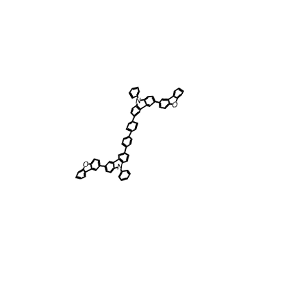 c1ccc(-n2c3ccc(-c4ccc(-c5ccc(-c6ccc7c(c6)c6cc(-c8ccc9oc%10ccccc%10c9c8)ccc6n7-c6ccccc6)cc5)cc4)cc3c3cc(-c4ccc5oc6ccccc6c5c4)ccc32)cc1